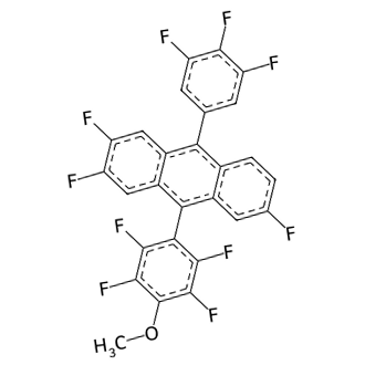 COc1c(F)c(F)c(-c2c3cc(F)ccc3c(-c3cc(F)c(F)c(F)c3)c3cc(F)c(F)cc23)c(F)c1F